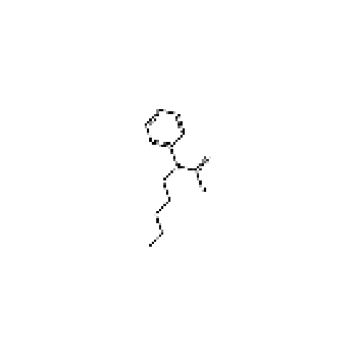 CCCCCN(C(=S)S)c1ccccc1